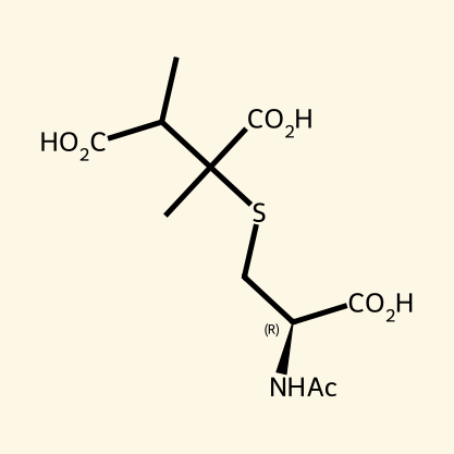 CC(=O)N[C@@H](CSC(C)(C(=O)O)C(C)C(=O)O)C(=O)O